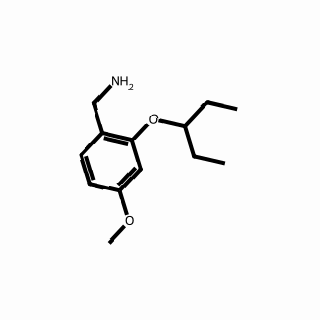 CCC(CC)Oc1cc(OC)ccc1CN